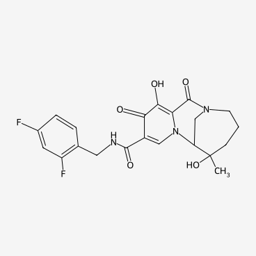 CC1(O)CCCN2CC1n1cc(C(=O)NCc3ccc(F)cc3F)c(=O)c(O)c1C2=O